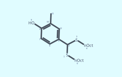 CCCCCCCCSC(SCCCCCCCC)c1ccc(O)c(C)c1